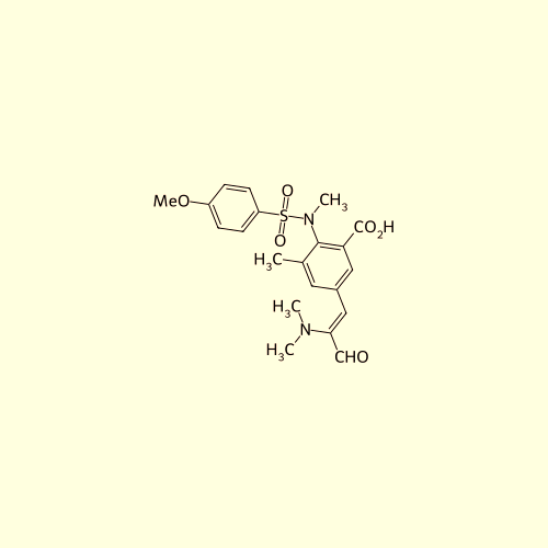 COc1ccc(S(=O)(=O)N(C)c2c(C)cc(C=C(C=O)N(C)C)cc2C(=O)O)cc1